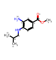 COC(=O)c1ccc(NCC(C)C)c(N)c1